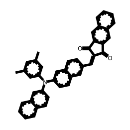 Cc1cc(C)cc(N(c2ccc3ccccc3c2)c2ccc3cc(C=C4C(=O)c5cc6ccccc6cc5C4=O)ccc3c2)c1